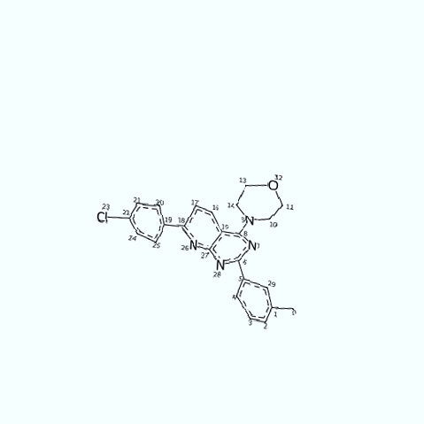 Cc1cccc(-c2nc(N3CCOCC3)c3ccc(-c4ccc(Cl)cc4)nc3n2)c1